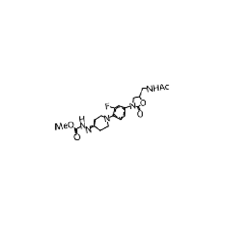 COC(=O)NN=C1CCN(c2ccc(N3CC(CNC(C)=O)OC3=O)cc2F)CC1